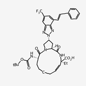 CC[C@]1(C(=O)O)/C=C\CCCC[C@H](NC(=O)OC(C)(C)C)C(=O)N2C[C@H](n3nc4cc(C(F)(F)F)cc(/C=C/c5ccccc5)c4n3)C[C@H]2C(=O)N1